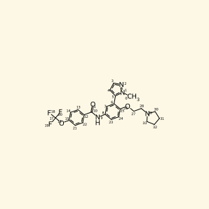 Cn1nccc1-c1cc(NC(=O)c2ccc(OC(F)(F)F)cc2)ccc1OCCN1CCCC1